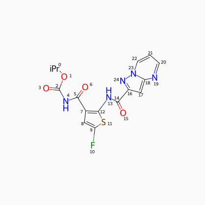 CC(C)OC(=O)NC(=O)c1cc(F)sc1NC(=O)c1cc2ncccn2n1